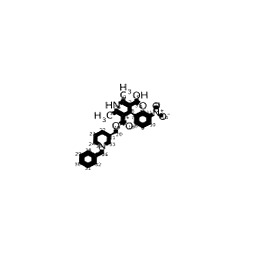 CC1=C(C(=O)O)[C@@H](c2cccc([N+](=O)[O-])c2)C(C(=O)OC[C@@H]2CCCN(Cc3ccccc3)C2)=C(C)N1